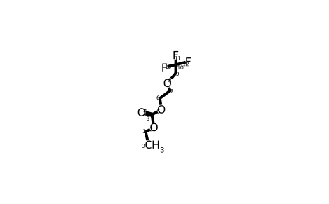 CCOC(=O)OCCOCC(F)(F)F